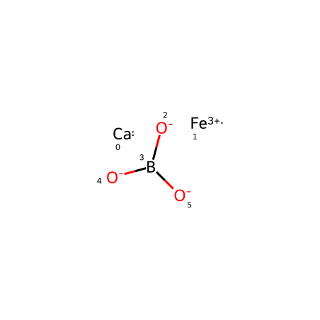 [Ca].[Fe+3].[O-]B([O-])[O-]